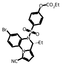 CCOC(=O)Oc1ccc(S(=O)(=O)N2c3cc(Br)ccc3-n3c(C#N)ccc3[C@H]2CC)cc1